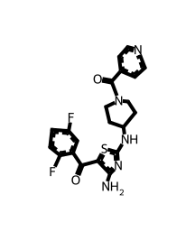 Nc1nc(NC2CCN(C(=O)c3ccncc3)CC2)sc1C(=O)c1cc(F)ccc1F